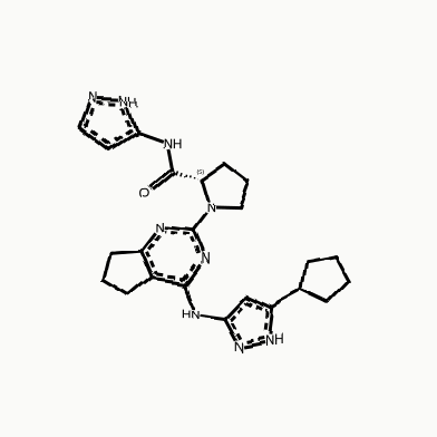 O=C(Nc1ccn[nH]1)[C@@H]1CCCN1c1nc2c(c(Nc3cc(C4CCCC4)[nH]n3)n1)CCC2